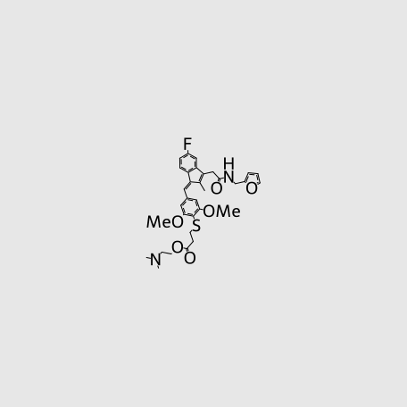 COc1cc(C=C2C(C)=C(CC(=O)NCc3ccco3)c3cc(F)ccc32)cc(OC)c1SCCC(=O)OCCN(C)C